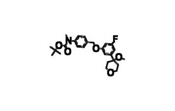 COC1(c2cc(F)cc(OCc3ccc(N(C)C(=O)OC(C)(C)C)cc3)c2)CCOCC1